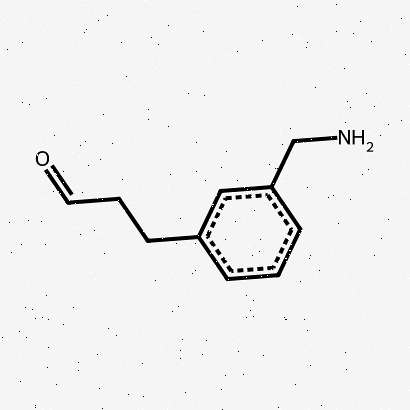 NCc1cccc(CCC=O)c1